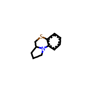 c1ccc2c(c1)SCC1CCCN21